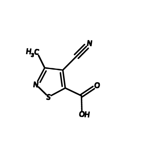 Cc1nsc(C(=O)O)c1C#N